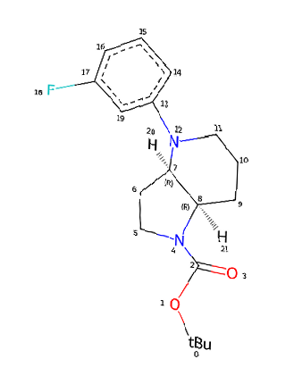 CC(C)(C)OC(=O)N1CC[C@@H]2[C@H]1CCCN2c1cccc(F)c1